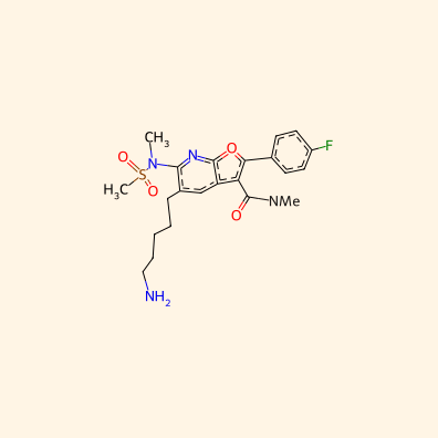 CNC(=O)c1c(-c2ccc(F)cc2)oc2nc(N(C)S(C)(=O)=O)c(CCCCCN)cc12